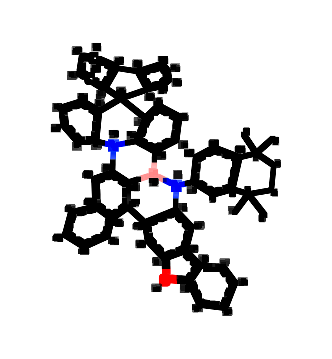 CC1(C)CCC(C)(C)c2cc(N3B4c5cccc6c5N(c5ccccc5C65c6ccccc6-c6ccccc65)c5cc6ccccc6c(c54)-c4cc5oc6ccccc6c5cc43)ccc21